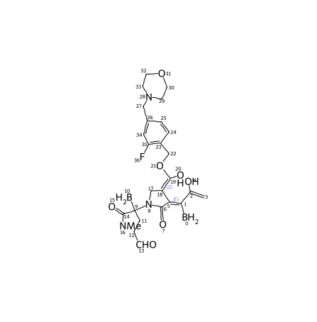 B/C(C(=C)O)=C1\C(=O)N(C(B)(CCC=O)C(=O)NC)C\C1=C(\O)OCc1ccc(CN2CCOCC2)cc1F